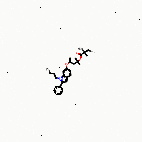 CC(C)CCCn1c(-c2ccccc2)cc2ccc(OC(C)CC(C)(C)OC(=O)C(C)(CC(C)(C)C)C(C)(C)C)cc21